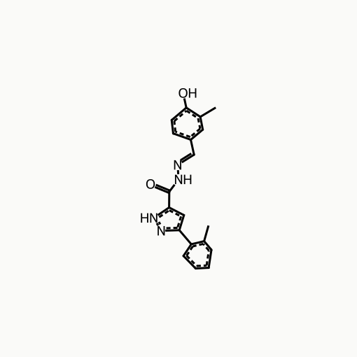 Cc1cc(/C=N/NC(=O)c2cc(-c3ccccc3C)n[nH]2)ccc1O